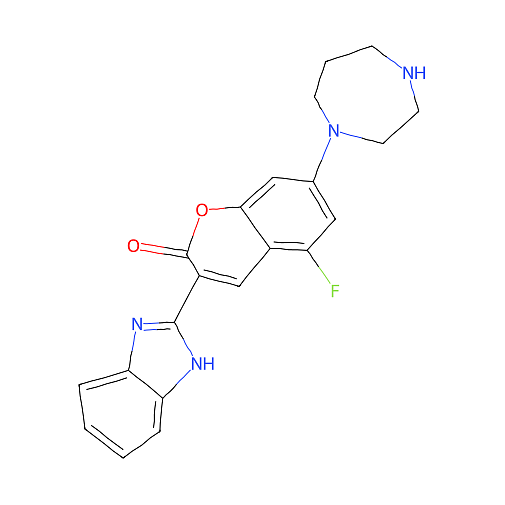 O=c1oc2cc(N3CCCNCC3)cc(F)c2cc1-c1nc2ccccc2[nH]1